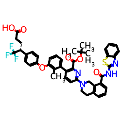 Cc1c(Oc2ccc([C@@H](CCC(=O)O)C(F)(F)F)cc2)cccc1-c1ccc(N2CCc3cccc(C(=O)Nc4nc5ccccc5s4)c3C2)nc1C(=O)OC(C)(C)C